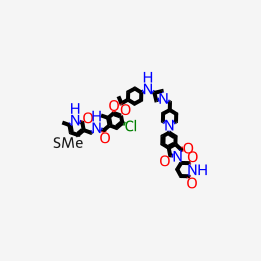 CSc1cc(C)[nH]c(=O)c1CNC(=O)c1cc(Cl)c2c(c1C)OC(C)(C1CCC(NC3CN(CC4CCN(c5ccc6c(c5)C(=O)N(C5CCC(=O)NC5=O)C6=O)CC4)C3)CC1)O2